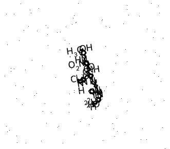 [2H]C([2H])([2H])Oc1ccc(CN2CCN(C3CC4(CCN(c5ccc(C(=O)NS(=O)(=O)c6ccc(NCC7CCC(C)(O)CC7)c([N+](=O)[O-])c6)c(Oc6cnc7[nH]cc(Cl)c7c6)c5)CC4)C3)[C@H](c3ccccc3C(C)C)C2)cc1